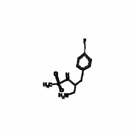 CS(=O)(=O)NC(CN)Cc1ccc(F)cc1